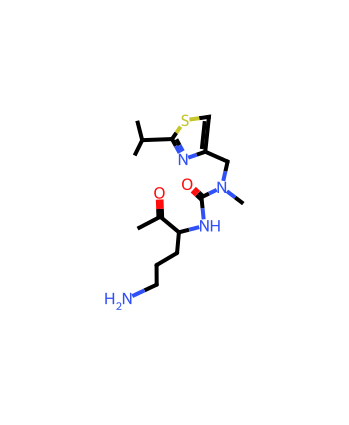 CC(=O)C(CCCN)NC(=O)N(C)Cc1csc(C(C)C)n1